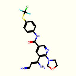 N=C/C=C(\N)c1cc(C(=O)Nc2ccc(SC(F)(F)Cl)cc2)cnc1N1CCOC1